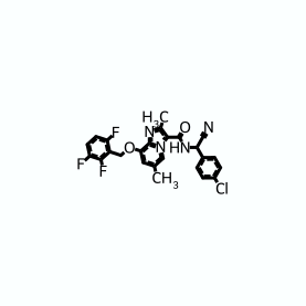 Cc1cc(OCc2c(F)ccc(F)c2F)c2nc(C)c(C(=O)NC(C#N)c3ccc(Cl)cc3)n2c1